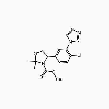 CC(C)(C)OC(=O)N1C(c2ccc(Cl)c(-n3cnnn3)c2)COC1(C)C